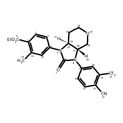 CCOC(=O)c1ccc(N2C(=O)N(c3ccc(C#N)c(C(F)(F)F)c3)[C@H]3COCC[C@@H]32)cc1C